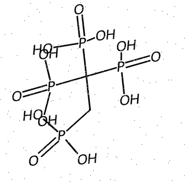 O=P(O)(O)CC(P(=O)(O)O)(P(=O)(O)O)P(=O)(O)O